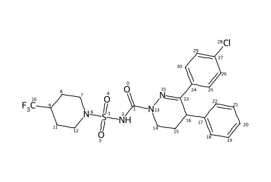 O=C(NS(=O)(=O)N1CCC(C(F)(F)F)CC1)N1CCC(c2ccccc2)C(c2ccc(Cl)cc2)=N1